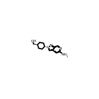 Nc1cc2cn([C@H]3CC[C@H](CO)CC3)nc2cn1